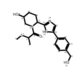 CSC(C)C(=O)N1CC(O)CCC1c1ncc(-c2ccc(CO)cc2)[nH]1